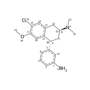 Bc1cccc([C@H]2C[C@H](N(C)C)Cc3cc(Cl)c(OC)cc32)c1